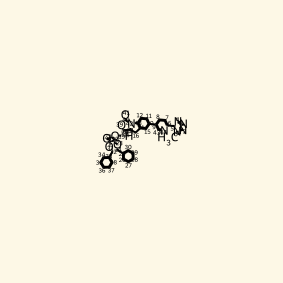 Cn1nnnc1-c1ccc(-c2ccc3c(c2)C[C@H]2[C@H](COP(=O)(OCc4ccccc4)OCc4ccccc4)OC(=O)N32)cn1